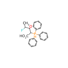 CC(F)C(=O)C(C(=O)O)[PH](c1ccccc1)(c1ccccc1)c1ccccc1